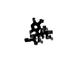 CC(C)(C)[S+]([O-])N[C@](C)(c1cc(Br)c(F)cc1F)C(F)(F)C(C)(C)O